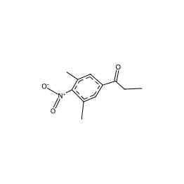 CCC(=O)c1cc(C)c([N+](=O)[O-])c(C)c1